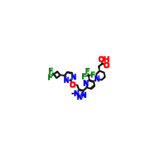 Cn1nnc(-c2ccc(N3CCC[C@H](CC(=O)O)C3)c(C(F)(F)F)n2)c1COc1nccc(C2CC(F)(F)C2)n1